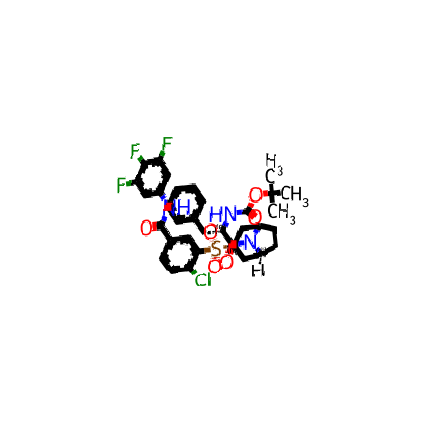 CC(C)(C)OC(=O)N[C@@H](Cc1ccccc1)C(=O)N1C2CC[C@H]1C[C@H](S(=O)(=O)c1cc(C(=O)Nc3cc(F)c(F)c(F)c3)ccc1Cl)C2